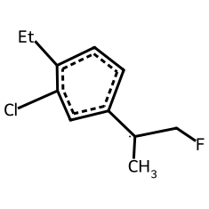 CCc1ccc([C](C)CF)cc1Cl